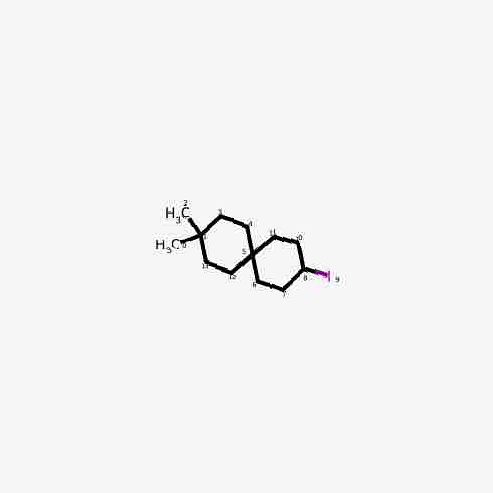 CC1(C)CCC2(CCC(I)CC2)CC1